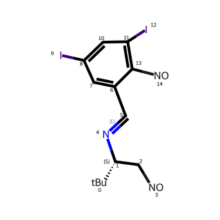 CC(C)(C)[C@@H](CN=O)/N=C/c1cc(I)cc(I)c1N=O